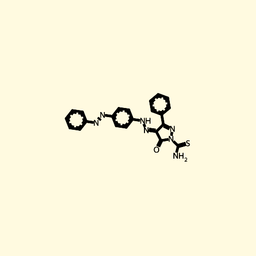 NC(=S)N1N=C(c2ccccc2)/C(=N\Nc2ccc(/N=N/c3ccccc3)cc2)C1=O